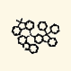 CC1(C)c2ccccc2-c2c(N(c3ccc4c(c3)C(c3ccccc3)(c3ccccc3)c3ccccc3-4)c3cccc4oc5ccccc5c34)cccc21